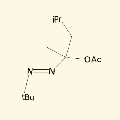 CC(=O)OC(C)(CC(C)C)N=NC(C)(C)C